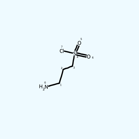 NCCCS(=O)(=O)Cl